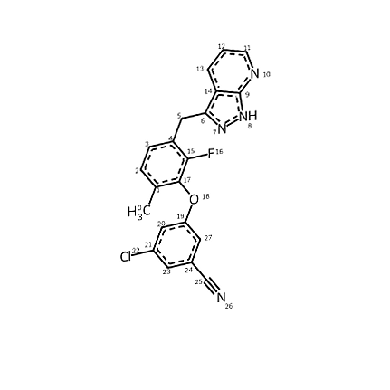 Cc1ccc(Cc2n[nH]c3ncccc23)c(F)c1Oc1cc(Cl)cc(C#N)c1